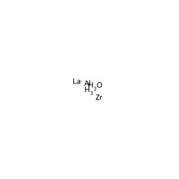 O.[AlH3].[La].[Zr]